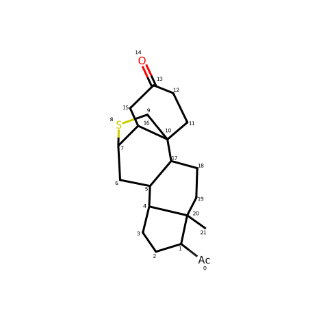 CC(=O)C1CCC2C3CC4SCC5(CCC(=O)CC45)C3CCC12C